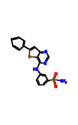 NS(=O)(=O)c1cccc(Nc2ncnc3cc(-c4ccccc4)sc23)c1